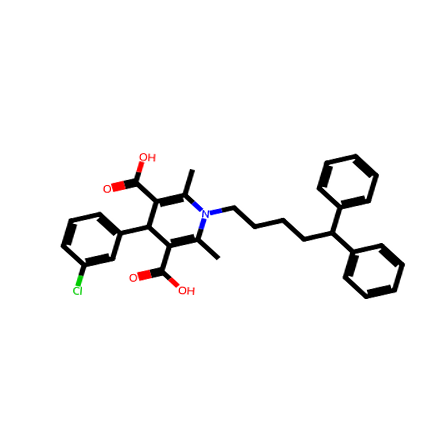 CC1=C(C(=O)O)C(c2cccc(Cl)c2)C(C(=O)O)=C(C)N1CCCCC(c1ccccc1)c1ccccc1